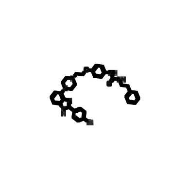 CCc1ccc(-c2nc3c(N4CCN(CCOc5ccc(NC(=O)NCCc6ccccc6)cc5)CC4)cccc3[nH]2)cc1